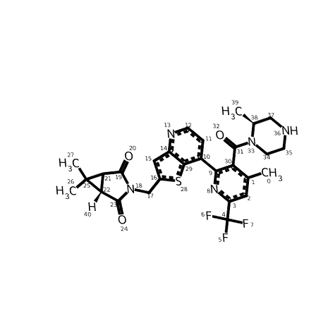 Cc1cc(C(F)(F)F)nc(-c2ccnc3cc(CN4C(=O)C5[C@H](C4=O)C5(C)C)sc23)c1C(=O)N1CCNC[C@@H]1C